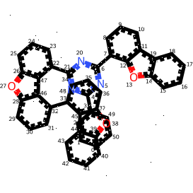 c1ccc(-c2nc(-c3cccc4c3oc3ccccc34)nc(-c3cccc4oc5cccc(-c6cccc7oc8ccccc8c67)c5c34)n2)cc1